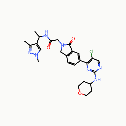 Cc1nn(C)cc1C(C)NC(=O)CN1Cc2ccc(-c3nc(NC4CCOCC4)ncc3Cl)cc2C1=O